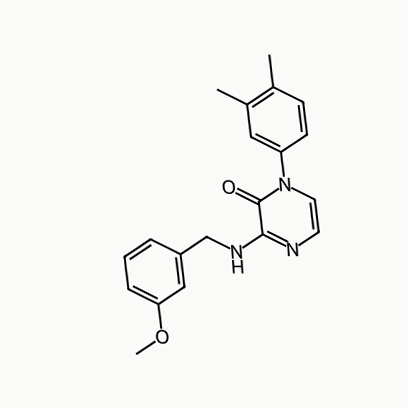 COc1cccc(CNc2nccn(-c3ccc(C)c(C)c3)c2=O)c1